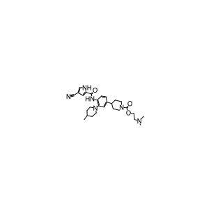 CC1CCN(c2cc(C3CCN(C(=O)OCCN(C)C)CC3)ccc2NC(=O)c2cc(C#N)c[nH]2)CC1